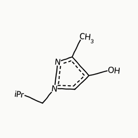 Cc1nn(CC(C)C)cc1O